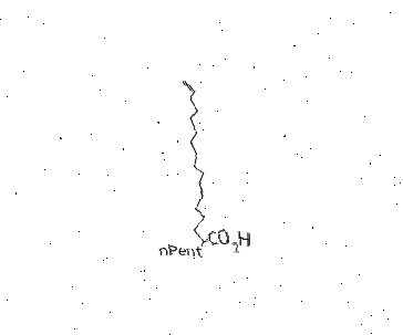 C=CCCCCCCCCCCCCCC(CCCCC)C(=O)O